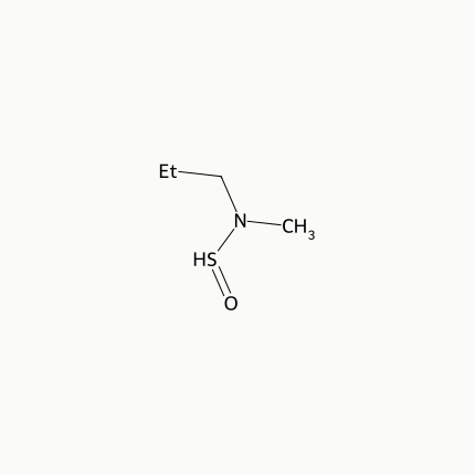 CCCN(C)[SH]=O